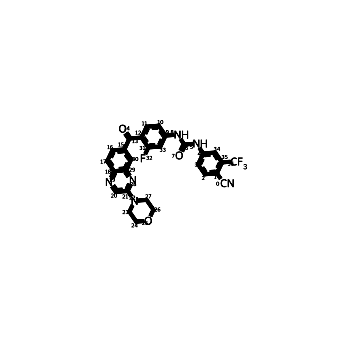 N#Cc1ccc(NC(=O)Nc2ccc(C(=O)c3ccc4ncc(N5CCOCC5)nc4c3)c(F)c2)cc1C(F)(F)F